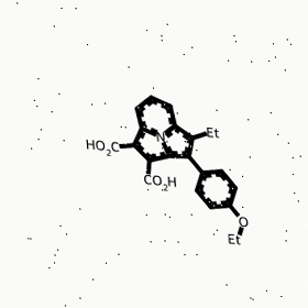 CCOc1ccc(-c2c(CC)c3cccc4c(C(=O)O)c(C(=O)O)c2n34)cc1